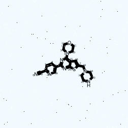 N#Cc1ccc(-c2nc(N3CCOCC3)c3cc(CN4CCNCC4)sc3n2)cn1